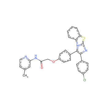 Cc1ccnc(NC(=O)COc2ccc(-c3c(-c4ccc(Cl)cc4)nc4sc5ccccc5n34)cc2)c1